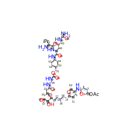 CC(=O)O[C@@H](C)/C=C\C(=O)N[C@@H]1C[C@H](C)[C@H](C/C=C(C)/C=C/[C@H]2O[C@H](CC(=O)NCNC(=O)OCc3ccc(NC(=O)[C@H](CCCNC(N)=O)NC(=O)[C@@H](N)C(C)C)cc3)C[C@@]3(CO3)[C@@H]2O)O[C@@H]1C